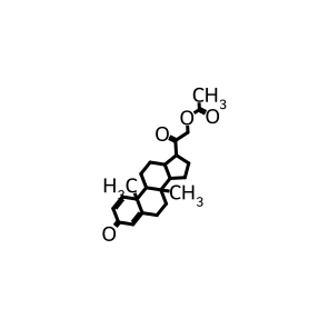 CC(=O)OCC(=O)C1CCC2C1CCC1C3(C)C=CC(=O)C=C3CCC21C